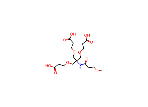 COCCC(=O)NC(COCCC(=O)O)(COCCC(=O)O)COCCC(=O)O